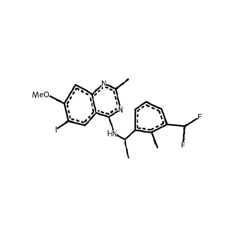 COc1cc2nc(C)nc(NC(C)c3cccc(C(F)F)c3C)c2cc1I